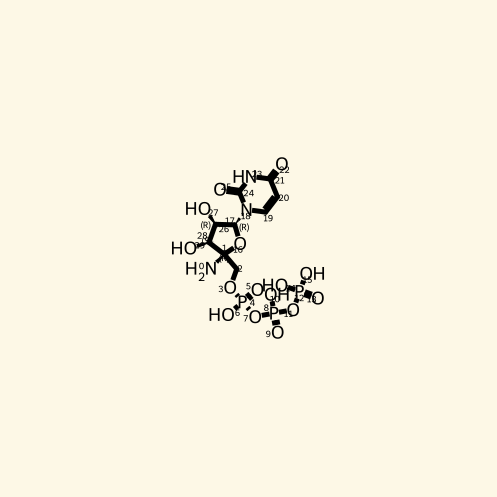 N[C@]1(COP(=O)(O)OP(=O)(O)OP(=O)(O)O)O[C@@H](n2ccc(=O)[nH]c2=O)[C@H](O)[C@@H]1O